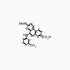 CNc1ncc2c(n1)c(Nc1cccc(C)c1)nc1cc(C(=O)O)ccc12